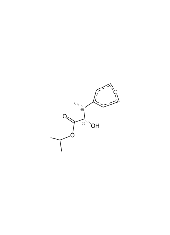 CC(C)OC(=O)[C@@H](O)[C@H](C)c1ccccc1